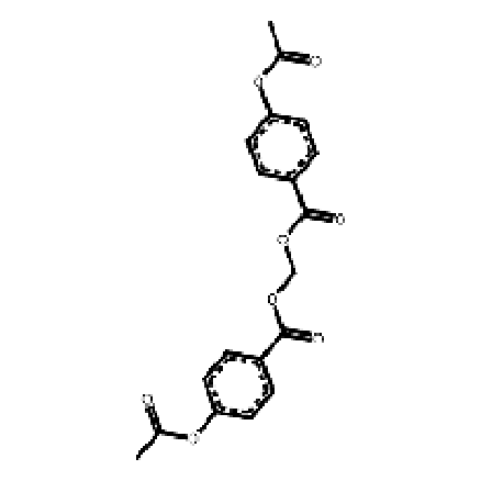 CC(=O)Oc1ccc(C(=O)OCOC(=O)c2ccc(OC(C)=O)cc2)cc1